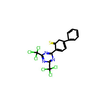 S=C1CC(c2ccccc2)=CC=C1c1nc(C(Cl)(Cl)Cl)nc(C(Cl)(Cl)Cl)n1